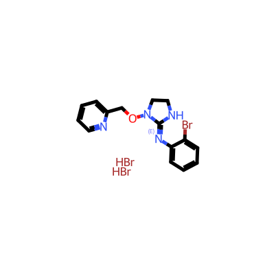 Br.Br.Brc1ccccc1/N=C1\NCCN1OCc1ccccn1